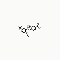 CCOc1ccc(C(C)(C)C)cc1[C@@H](O)Cc1ccc(C(=O)OC)cc1